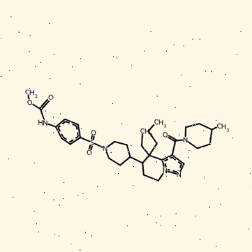 CCCC1(CC)c2c(C(=O)N3CCC(C)CC3)cnn2CCC1C1CCN(S(=O)(=O)c2ccc(NC(=O)OC)cc2)CC1